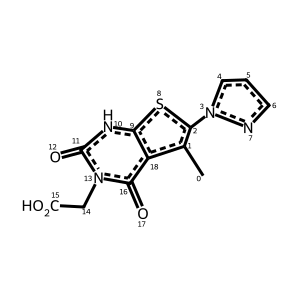 Cc1c(-n2cccn2)sc2[nH]c(=O)n(CC(=O)O)c(=O)c12